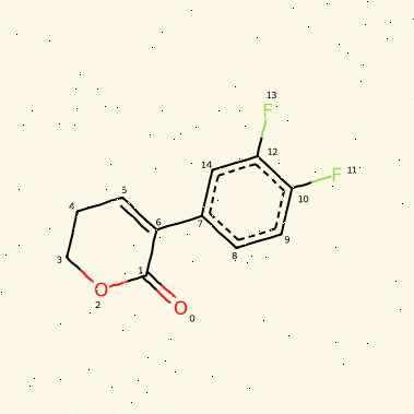 O=C1OCCC=C1c1ccc(F)c(F)c1